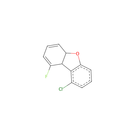 FC1=CC=CC2Oc3cccc(Cl)c3C12